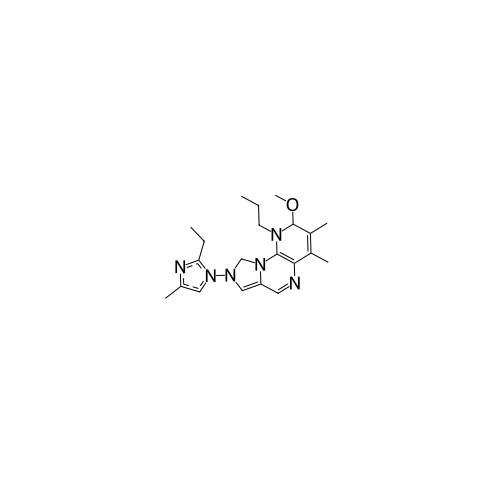 CCCN1C2=C(N=CC3=CN(n4cc(C)nc4CC)CN32)C(C)=C(C)C1OC